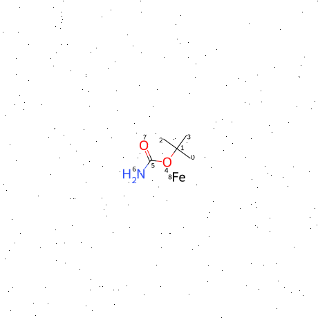 CC(C)(C)OC(N)=O.[Fe]